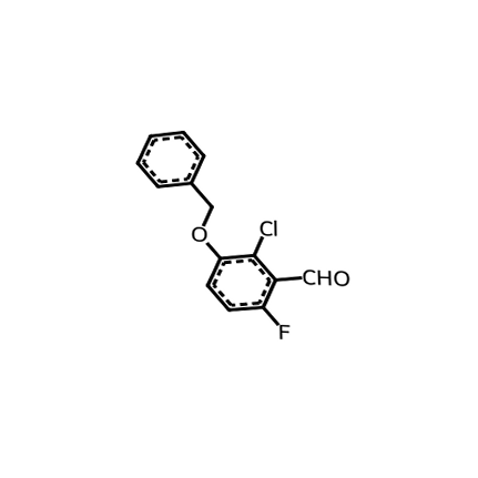 O=Cc1c(F)ccc(OCc2ccccc2)c1Cl